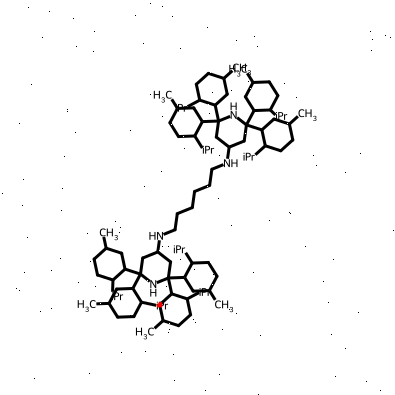 CC1CCC(C(C)C)C(C2(C3CC(C)CCC3C(C)C)CC(NCCCCCCNC3CC(C4CC(C)CCC4C(C)C)(C4CC(C)CCC4C(C)C)NC(C4CC(C)CCC4C(C)C)(C4CC(C)CCC4C(C)C)C3)CC(C3CC(C)CCC3C(C)C)(C3CC(C)CCC3C(C)C)N2)C1